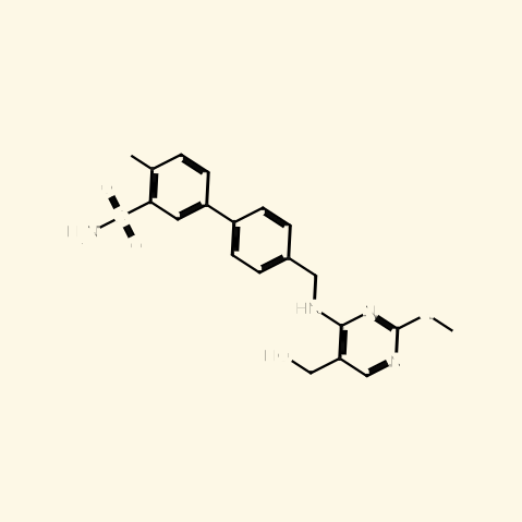 CSc1ncc(CO)c(NCc2ccc(-c3ccc(F)c(S(N)(=O)=O)c3)cc2)n1